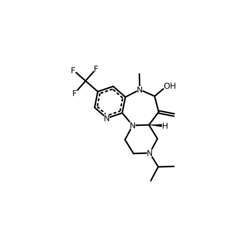 C=C1C(O)N(C)c2cc(C(F)(F)F)cnc2N2CCN(C(C)C)C[C@@H]12